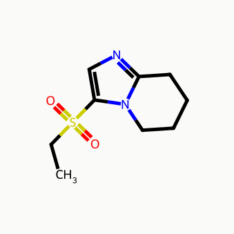 CCS(=O)(=O)c1cnc2n1CCCC2